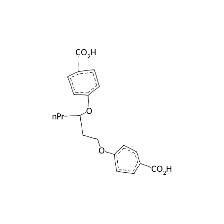 CCCC(CCOc1ccc(C(=O)O)cc1)Oc1ccc(C(=O)O)cc1